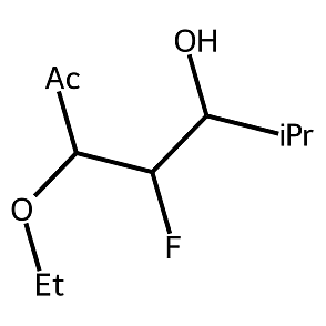 CCOC(C(C)=O)C(F)C(O)C(C)C